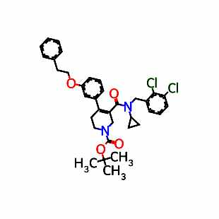 CC(C)(C)OC(=O)N1CCC(c2cccc(OCCc3ccccc3)c2)=C(C(=O)N(Cc2cccc(Cl)c2Cl)C2CC2)C1